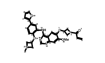 C=CC(=O)N1CC(Oc2cc3c(Nc4cc(-c5ccco5)ccc4OC4CN(C)C4)ncnc3cc2OC)C1